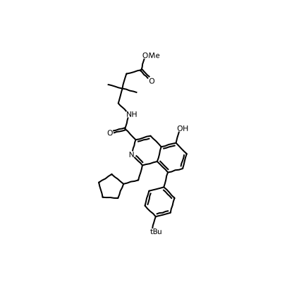 COC(=O)CC(C)(C)CNC(=O)c1cc2c(O)ccc(-c3ccc(C(C)(C)C)cc3)c2c(CC2CCCC2)n1